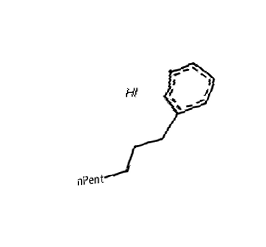 CCCCCCCCc1ccccc1.I